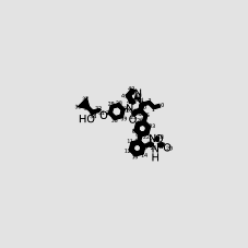 CCCc1c(Cc2ccc(-c3ccccc3-c3noc(=O)[nH]3)cc2)c(=O)n([C@H]2CC[C@H](OCC(O)C3CC3)CC2)c2ccnn12